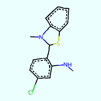 CNc1cc(Cl)ccc1C1Sc2ccccc2N1C